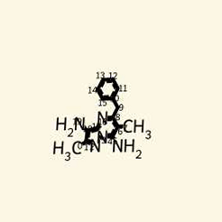 Cc1nn2c(N)c(C)c(Cc3ccccc3)nc2c1N